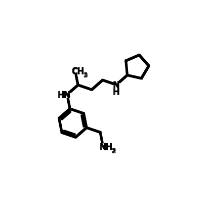 CC(CCNC1CCCC1)Nc1cccc(CN)c1